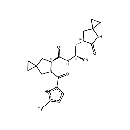 Cc1ccc(C(=O)N2CC3(CC3)C[C@H]2C(=O)N[C@H](C#N)C[C@@H]2CC3(CC3)NC2=O)[nH]1